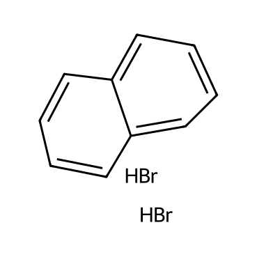 Br.Br.c1ccc2ccccc2c1